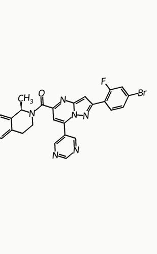 C[C@@H]1c2ccccc2CCN1C(=O)c1cc(-c2cncnc2)n2nc(-c3ccc(Br)cc3F)cc2n1